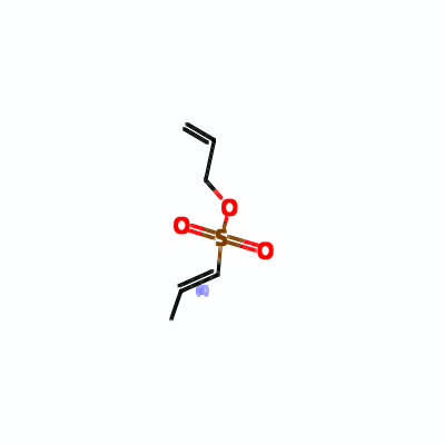 C=CCOS(=O)(=O)/C=C/C